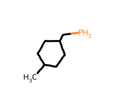 CC1CCC(CP)CC1